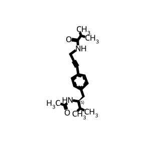 CC(=O)N[C@@H](Cc1ccc(C#CCNC(=O)C(C)C)cc1)C(C)C